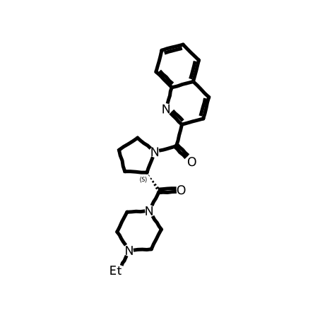 CCN1CCN(C(=O)[C@@H]2CCCN2C(=O)c2ccc3ccccc3n2)CC1